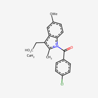 COc1ccc2c(c1)c(CC(=O)O)c(C)n2C(=O)c1ccc(Cl)cc1.[CaH2]